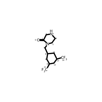 O=C1CNCCN1CC1CC(C(F)(F)F)CC(C(F)(F)F)C1